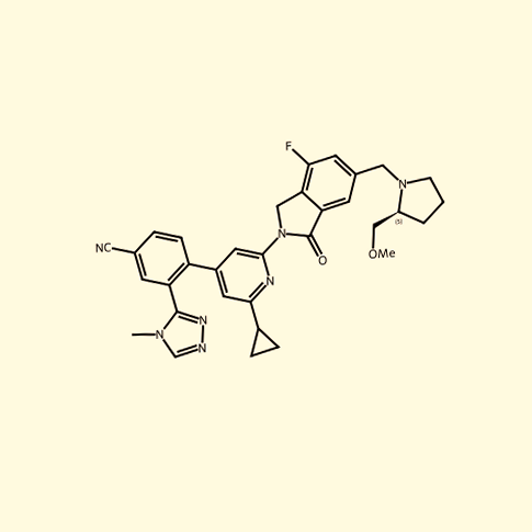 COC[C@@H]1CCCN1Cc1cc(F)c2c(c1)C(=O)N(c1cc(-c3ccc(C#N)cc3-c3nncn3C)cc(C3CC3)n1)C2